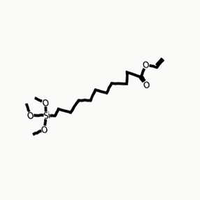 C=COC(=O)CCCCCCCCCC[Si](OC)(OC)OC